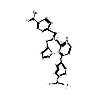 CC(C)c1ccc(-c2ccnc(N(Cc3ccc(C(=O)O)cc3)Cc3cccs3)n2)cc1